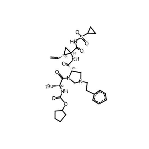 C=C[C@@H]1C[C@]1(NC(=O)[C@@H]1CN(CCc2ccccc2)CN1C(=O)[C@@H](NC(=O)OC1CCCC1)C(C)(C)C)C(=O)NS(=O)(=O)C1CC1